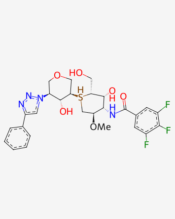 CO[C@H]1C[SH]([C@@H]2COC[C@H](n3cc(-c4ccccc4)nn3)[C@H]2O)[C@H](CO)[C@H](O)[C@@H]1NC(=O)c1cc(F)c(F)c(F)c1